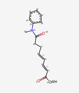 COC(=O)/C=C/C=C/CCC(=O)N(C)c1ccccc1